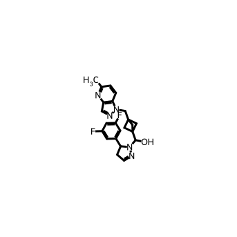 Cc1ccc2c(cnn2CC23CC(C(O)N4N=CCC4c4cc(F)cc(F)c4)(C2)C3)n1